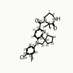 CC1(C)C(=O)NCCCN1C(=O)c1ccc2c(n1)C1(CCCC1)CN2c1ccc(Cl)c(F)c1